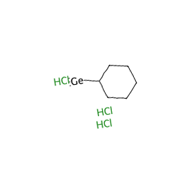 Cl.Cl.Cl.[Ge][CH]1CCCCC1